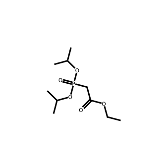 CCOC(=O)CP(=O)(OC(C)C)OC(C)C